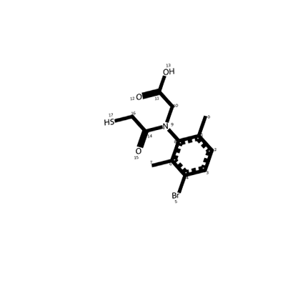 Cc1ccc(Br)c(C)c1N(CC(=O)O)C(=O)CS